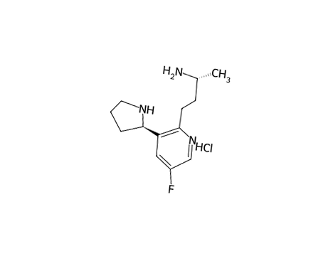 C[C@@H](N)CCc1ncc(F)cc1[C@H]1CCCN1.Cl